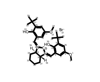 COc1cc(C=[N+]2[Co][N+](=Cc3cc(OC)cc(C(C)(C)C)c3O)[C@@H]3CCCC[C@H]32)c(O)c(C(C)(C)C)c1.[Br-]